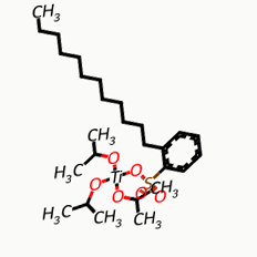 CCCCCCCCCCCCc1ccccc1S(=O)(=O)[O][Ti]([O]C(C)C)([O]C(C)C)[O]C(C)C